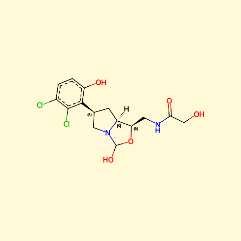 O=C(CO)NC[C@H]1OC(O)N2C[C@@H](c3c(O)ccc(Cl)c3Cl)C[C@@H]12